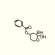 O=C(OC1CCOS(O)(O)C1)c1ccccc1